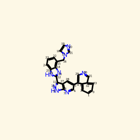 c1ccc2c(-c3cnc4[nH]nc(-c5nc6c(Cn7ccnc7)cccc6[nH]5)c4c3)cncc2c1